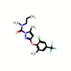 CCCN(C)C(=O)n1nc(Oc2c(C)cc(C(F)(F)F)cc2Cl)cc1C